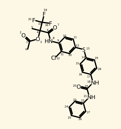 CC(=O)OC(C)(C(=O)Nc1ccc(Sc2ccc(NC(=O)Nc3ccccc3)cc2)cc1Cl)C(F)(F)F